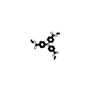 CCOC(=O)c1cc[c]([Bi]([c]2ccc(C(=O)OCC)cc2)[c]2ccc(C(=O)OCC)cc2)cc1